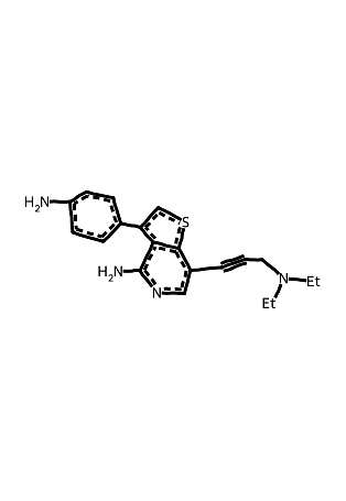 CCN(CC)CC#Cc1cnc(N)c2c(-c3ccc(N)cc3)csc12